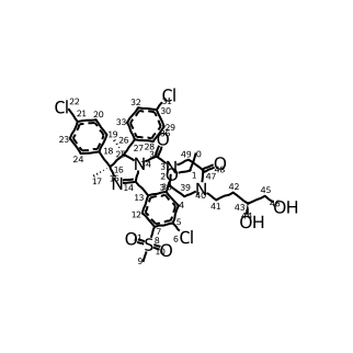 CCOc1cc(Cl)c(S(C)(=O)=O)cc1C1=N[C@@](C)(c2ccc(Cl)cc2)[C@@](C)(c2ccc(Cl)cc2)N1C(=O)N1CCN(CC[C@H](O)CO)C(=O)C1